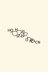 C[C@]1(O)CCC[C@@]2(C)[C@@H](CC[C@@H]3[C@@H]2CC[C@]2(C)[C@@H](C(=O)Cn4cc(C#N)cn4)CC[C@@H]32)C1